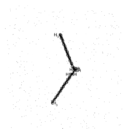 COCCOCCOCCOCCOCCOCCOCCOCCOCCOCCOCCOCCC(O)NCCCCC(NC(O)CCOCCOCCOCCOCCOCCOCCOCCOCCOCCOCCOCCOC)C(O)O